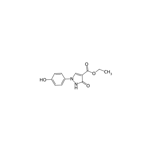 CCOC(=O)c1cn(-c2ccc(O)cc2)[nH]c1=O